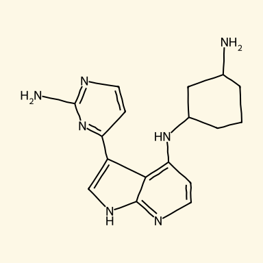 Nc1nccc(-c2c[nH]c3nccc(NC4CCCC(N)C4)c23)n1